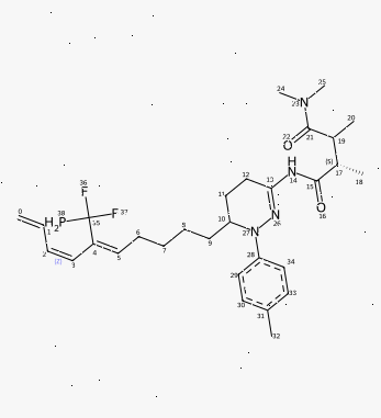 C=C/C=C\C(=CCCCCC1CCC(NC(=O)[C@@H](C)C(C)C(=O)N(C)C)=NN1c1ccc(C)cc1)C(F)(F)P